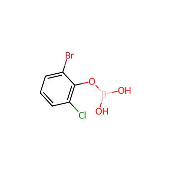 OB(O)Oc1c(Cl)cccc1Br